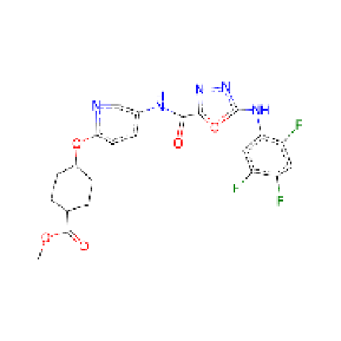 COC(=O)C1CCC(Oc2ccc(NC(=O)c3nnc(Nc4cc(F)c(F)cc4F)o3)cn2)CC1